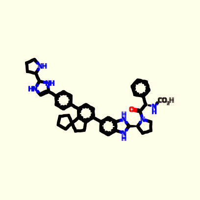 O=C(O)N[C@H](C(=O)N1CCC[C@H]1C1Nc2ccc(-c3ccc(-c4ccc(C5=CNC(C6CCCN6)N5)cc4)c4c3CCC43CCCC3)cc2N1)c1ccccc1